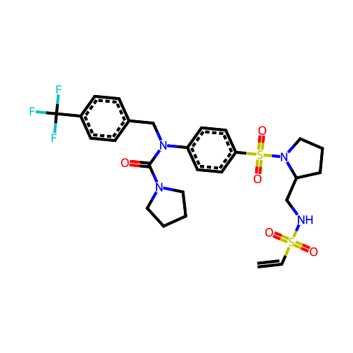 C=CS(=O)(=O)NCC1CCCN1S(=O)(=O)c1ccc(N(Cc2ccc(C(F)(F)F)cc2)C(=O)N2CCCC2)cc1